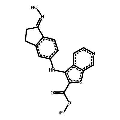 CC(C)OC(=O)c1sc2cnccc2c1Nc1ccc2c(c1)CC/C2=N\O